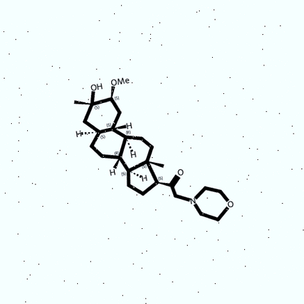 CO[C@H]1C[C@H]2[C@@H](CC[C@@H]3[C@@H]2CC[C@]2(C)[C@@H](C(=O)CN4CCOCC4)CC[C@@H]32)C[C@]1(C)O